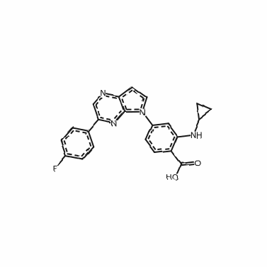 O=C(O)c1ccc(-n2ccc3ncc(-c4ccc(F)cc4)nc32)cc1NC1CC1